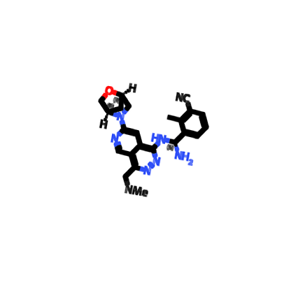 CNCc1nnc(N[C@H](N)c2cccc(C#N)c2C)c2cc(N3C[C@H]4C[C@@H]3CO4)ncc12